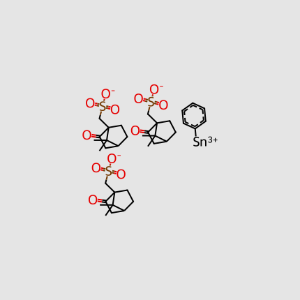 CC1(C)C2CCC1(CS(=O)(=O)[O-])C(=O)C2.CC1(C)C2CCC1(CS(=O)(=O)[O-])C(=O)C2.CC1(C)C2CCC1(CS(=O)(=O)[O-])C(=O)C2.[Sn+3][c]1ccccc1